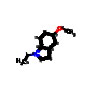 CCn1ccc2cc(OC)ccc21